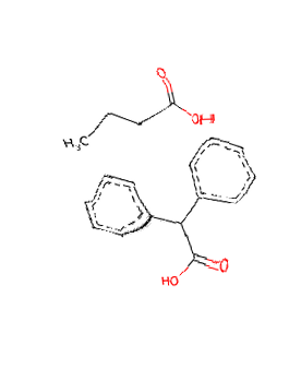 CCCC(=O)O.O=C(O)C(c1ccccc1)c1ccccc1